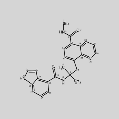 CC(C)(C)NC(=O)c1ccc(CC(C)(C)NC(=O)c2cccc3[nH]ccc23)c2ncccc12